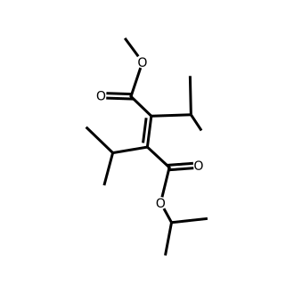 COC(=O)/C(=C(/C(=O)OC(C)C)C(C)C)C(C)C